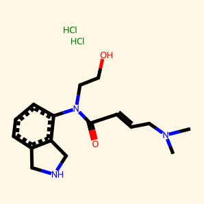 CN(C)C/C=C/C(=O)N(CCO)c1cccc2c1CNC2.Cl.Cl